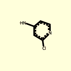 [NH]c1ccnc(Cl)c1